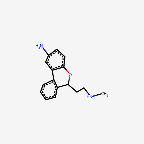 CNCCC1Oc2ccc(N)cc2-c2ccccc21